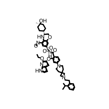 CCOc1nc2[nH]ccc2cc1Oc1cc(N2CCC3(CC2)CN(CCc2ccccc2C(C)C)C3)ccc1C(=O)NS(=O)(=O)c1cc(N=O)c2c(c1)OCC([C@H]1CC[C@](C)(O)CC1)N2